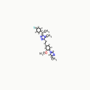 COc1cc(C=Cc2nnc(C(C)c3ccc(F)cc3)n2C)ccc1-n1cnc(C)c1